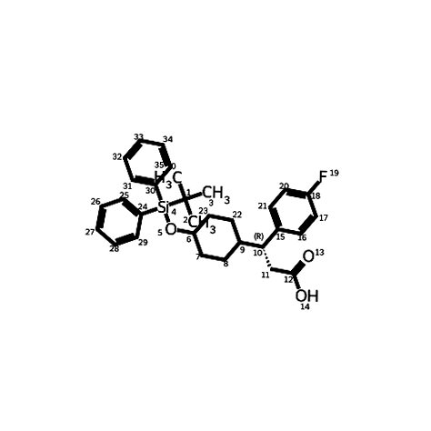 CC(C)(C)[Si](OC1CCC([C@@H](CC(=O)O)c2ccc(F)cc2)CC1)(c1ccccc1)c1ccccc1